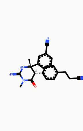 CN1C(=N)N[C@](C)(c2cccc(C#N)c2)[C@H](c2ccc(CCC#N)cc2)C1=O